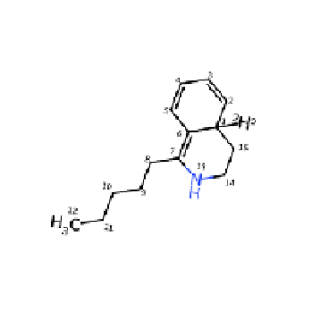 [2H]C12C=CC=CC1=C(CCCCC)NCC2